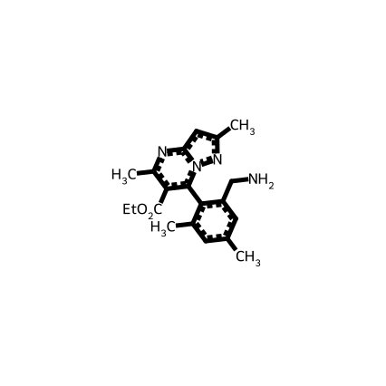 CCOC(=O)c1c(C)nc2cc(C)nn2c1-c1c(C)cc(C)cc1CN